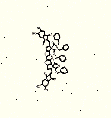 N#Cc1cc2c(cc1C#N)C(=O)C(=CC1=Cc3sc4c(sc5c6c(sc54)C=C(C=C4C(=O)c5cc(C#N)c(C#N)cc5C4=O)C6(C(=O)OCc4ccccc4)C(=O)OCc4ccccc4)c3C1(C(=O)OCc1ccccc1)C(=O)OCc1ccccc1)C2=O